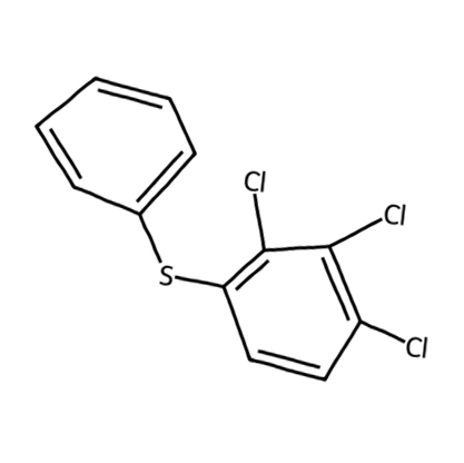 Clc1ccc(Sc2ccccc2)c(Cl)c1Cl